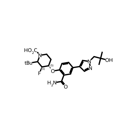 CC(C)(O)Cn1cc(-c2ccc(O[C@H]3CCN(C(=O)O)C(C(C)(C)C)[C@@H]3F)c(C(N)=O)c2)cn1